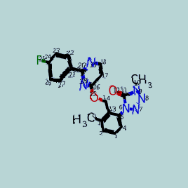 Cc1cccc(-n2nnn(C)c2=O)c1COc1ccnc(-c2ccc(F)cc2)n1